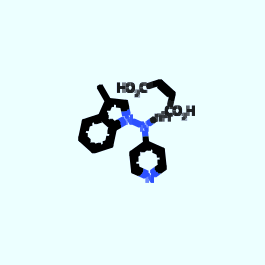 CCCN(c1ccncc1)n1cc(C)c2ccccc21.O=C(O)/C=C\C(=O)O